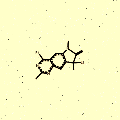 C=C1N(C)c2cc3c(CC)nc(C)nc3cc2C1(C)CC